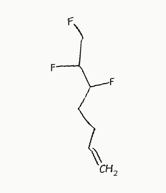 C=CCCC(F)C(F)CF